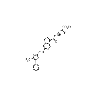 CCOC(=O)C(F)CNCC(=O)N1CCc2cc(OCc3cc(-c4ccccc4)c(C(F)(F)F)s3)ccc21